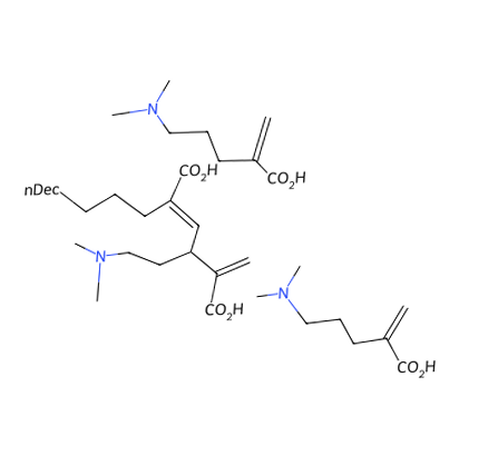 C=C(C(=O)O)C(C=C(CCCCCCCCCCCCC)C(=O)O)CCN(C)C.C=C(CCCN(C)C)C(=O)O.C=C(CCCN(C)C)C(=O)O